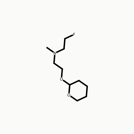 CN(CCF)CCOC1CCCCO1